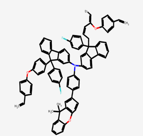 C=Cc1ccc(OC(/C=C\CC2(c3ccc(F)cc3)c3ccccc3-c3ccc(N(c4ccc(-c5ccc6c(c5)C(C)(C)c5ccccc5O6)cc4)c4ccc5c(c4)C(c4ccc(F)cc4)(c4ccc(Oc6ccc(C=C)cc6)cc4)c4ccccc4-5)cc32)=C/CC)cc1